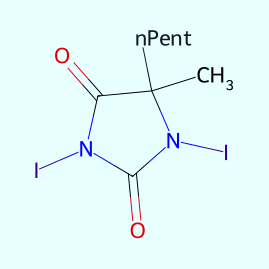 CCCCCC1(C)C(=O)N(I)C(=O)N1I